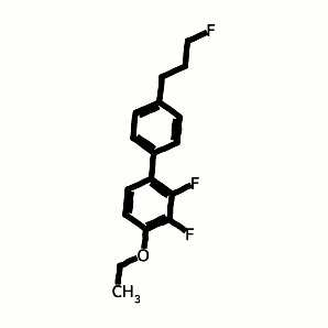 CCOc1ccc(-c2ccc(CCCF)cc2)c(F)c1F